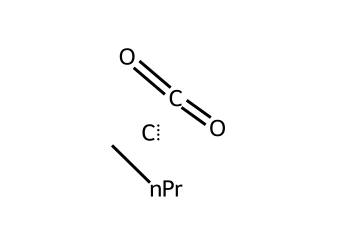 CCCC.O=C=O.[C]